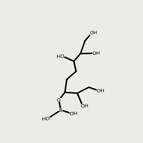 OCC(O)C(O)CCC(OB(O)O)C(O)CO